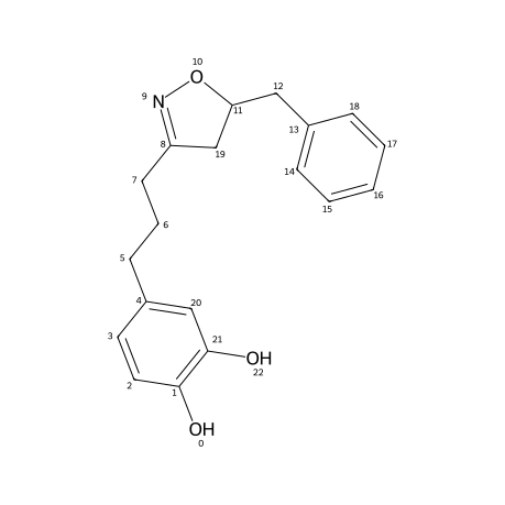 Oc1ccc(CCCC2=NOC(Cc3ccccc3)C2)cc1O